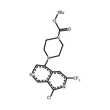 CC(C)(C)OC(=O)N1CCN(c2cncc3c(Cl)nc(C(F)(F)F)cc23)CC1